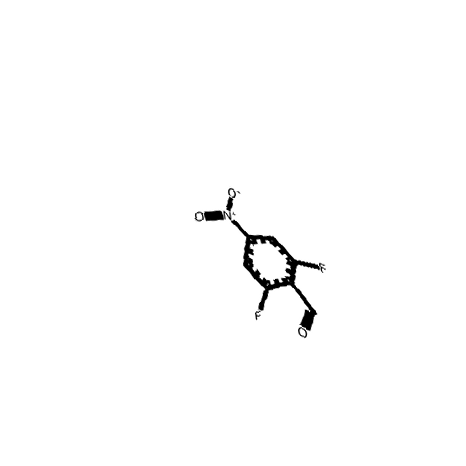 O=Cc1c(F)cc([N+](=O)[O-])cc1F